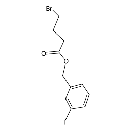 O=C(CCCBr)OCc1cccc(I)c1